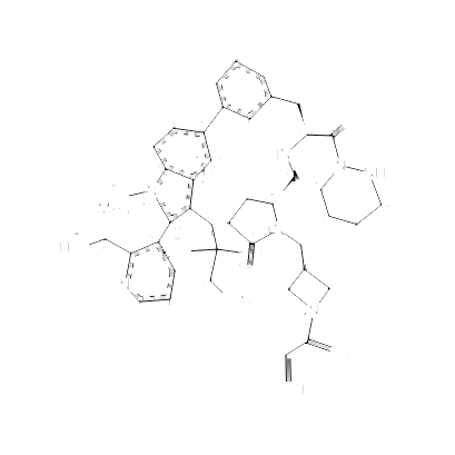 C=CC(=O)N1CC(CN2C(=O)C[C@H](C)[C@H]2C(=O)N[C@@H](Cc2cccc(-c3ccc4c(c3)c(CC(C)(C)COC(C)=O)c(-c3cccnc3[C@H](C)OC)n4CC)c2)C(=O)N2CCCCN2)C1